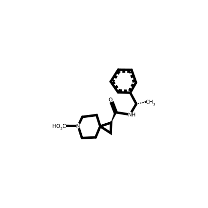 C[C@H](NC(=O)[C@H]1CC12CCN(C(=O)O)CC2)c1ccccc1